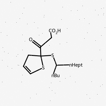 CCCCCCCC(CCCC)SC1(C(=O)CC(=O)O)CC=CS1